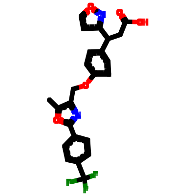 Cc1oc(-c2ccc(C(F)(F)F)cc2)nc1COc1ccc(C(CC(=O)O)c2ccon2)cc1